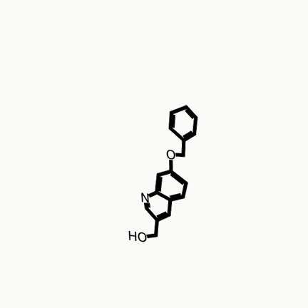 OCc1cnc2cc(OCc3ccccc3)ccc2c1